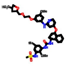 COc1cc(Nc2cc(Oc3ccc(NC(=O)Nc4cc(C(C)(C)C)cc(NS(C)(=O)=O)c4OC)c4ccccc34)ccn2)cc(OCCOCC2CC(C(=O)O)CO2)c1